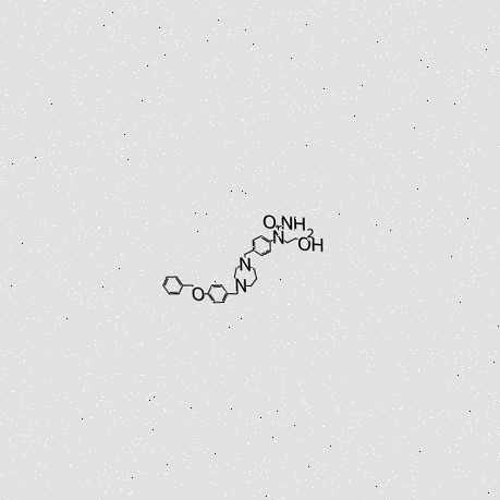 NC(=O)N(CCO)c1ccc(CN2CCCN(Cc3ccc(OCc4ccccc4)cc3)CC2)cc1